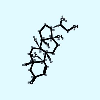 CC(CO)[C@H]1CC[C@H]2[C@@H]3CC[C@H]4CC(=O)C=C[C@]4(C)[C@H]3CC[C@]12C